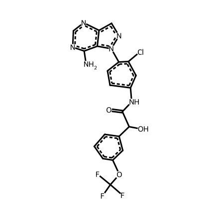 Nc1ncnc2cnn(-c3ccc(NC(=O)C(O)c4cccc(OC(F)(F)F)c4)cc3Cl)c12